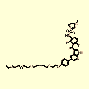 CCOCCOCCOCCOCCOCCOc1ccc(-c2cnc3[nH]cc(C(=O)c4c(F)ccc(NS(=O)(=O)N5CC[C@@H](F)C5)c4F)c3c2)cc1